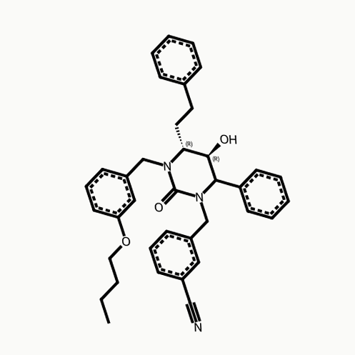 CCCCOc1cccc(CN2C(=O)N(Cc3cccc(C#N)c3)C(c3ccccc3)[C@H](O)[C@H]2CCc2ccccc2)c1